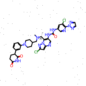 C[C@H](c1c(NC(=O)Nc2cnc(-n3nccn3)c(Cl)c2)cnc2cc(Cl)nn12)N(C)CC1CCN(c2cccc(C3CCC(=O)NC3=O)c2)CC1